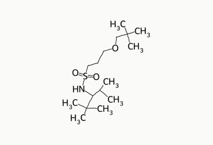 CC(C)C(NS(=O)(=O)CCCOCC(C)(C)C)C(C)(C)C